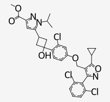 COC(=O)c1cc(C2CC(O)(c3ccc(OCc4c(-c5c(Cl)cccc5Cl)noc4C4CC4)cc3Cl)C2)n(C(C)C)n1